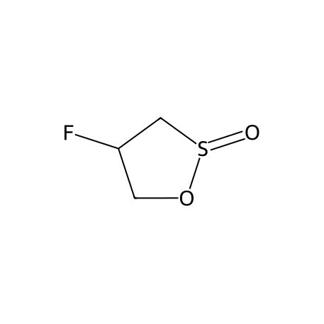 O=S1CC(F)CO1